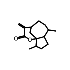 C=C1C(=O)OC23CC1CCC(C)C2CCC3C